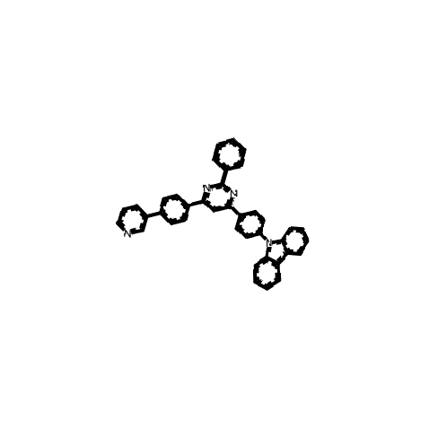 c1ccc(-c2nc(-c3ccc(-c4cccnc4)cc3)cc(-c3ccc(-n4c5ccccc5c5ccccc54)cc3)n2)cc1